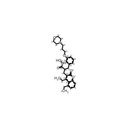 CCc1cccc2oc(=O)c(CC(Cc3cccc(OCCCN4CCOCC4)c3)C(=O)NO)c(CC)c12